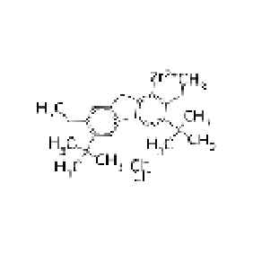 CCc1cc2c(cc1C(C)(C)C)-c1cc(C(C)(C)C)c(CC)[c]([Zr+2])c1C2.[Cl-].[Cl-]